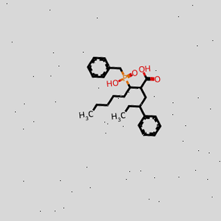 CCCCCC(C(CC(CC)c1ccccc1)C(=O)O)P(=O)(O)Cc1ccccc1